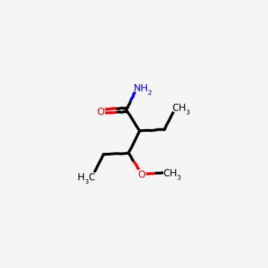 CCC(OC)C(CC)C(N)=O